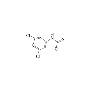 S=C(Cl)Nc1cc(Cl)nc(Cl)c1